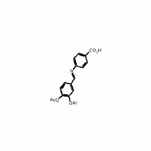 CC(=O)Oc1ccc(/C=N/c2ccc(C(=O)O)cc2)cc1OC(C)=O